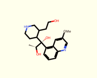 COc1cnc2cccc([C@](O)(C3CCNCC3CCO)[C@@H](C)O)c2c1